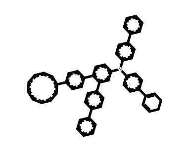 C1=CC(c2ccc(N(c3ccc(-c4ccccc4)cc3)c3ccc(-c4ccc(-c5ccccccccc5)cc4)c(-c4ccc(-c5ccccc5)cc4)c3)cc2)=CCC1